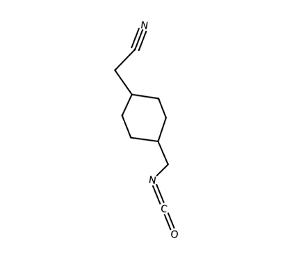 N#CCC1CCC(CN=C=O)CC1